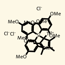 COc1cc(OC)c([Si](c2c(OC)cc(OC)cc2OC)(c2c(OC)cc(OC)cc2OC)[C]2([Ti+3])C(C)=C(C)C(C)=C2C)c(OC)c1.[Cl-].[Cl-].[Cl-]